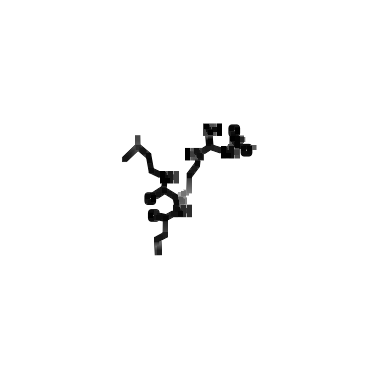 C=CCC(=O)N[C@@H](CCCNC(=N)N[N+](=O)[O-])C(=O)NCCC(C)C